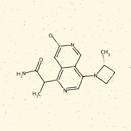 CC(C(N)=O)c1ncc(N2CC[C@H]2C)c2cnc(Cl)cc12